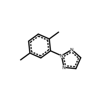 Cc1ccc(C)c(-n2nccn2)c1